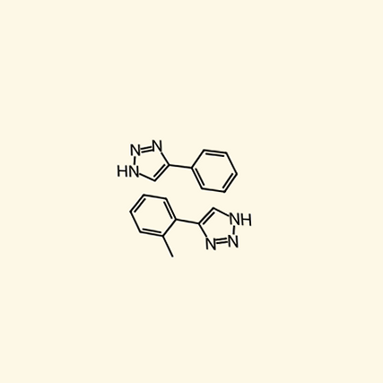 Cc1ccccc1-c1c[nH]nn1.c1ccc(-c2c[nH]nn2)cc1